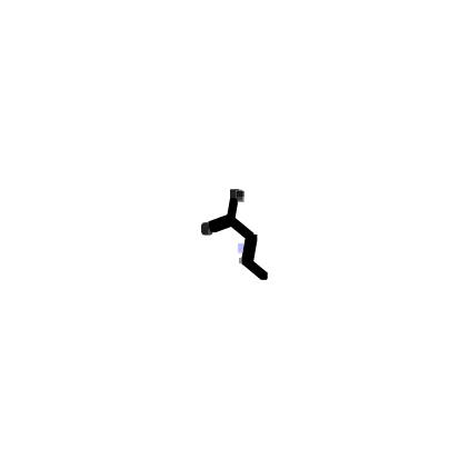 C/[C]=C/C(=O)CC